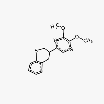 COc1ncc(C2CSc3ccccc3C2)nc1OC